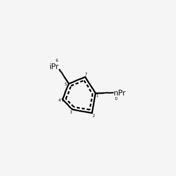 CCCc1cc[c]c(C(C)C)c1